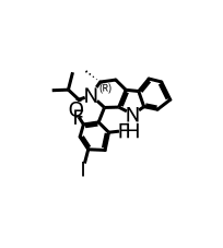 CC(C)C(=O)N1C(c2c(F)cc(I)cc2F)c2[nH]c3ccccc3c2C[C@H]1C